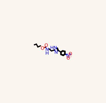 CCCCOC(=O)NCCc1nc(-c2ccc([N+](=O)[O-])cc2)c[nH]1